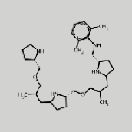 Cc1cccc(C)c1NC[C@@H]1CCC(CC(C)COC[C@@H]2CCC(CC(C)COC[C@@H]3CCCN3)N2)N1